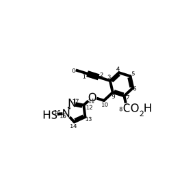 CC#Cc1cccc(C(=O)O)c1COc1ccn(S)n1